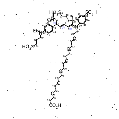 C=C/C=C(/C=C/C=C1/N(CCOCCOCCOCCOCCOCCOCCC(=O)O)c2ccc(S(=O)(=O)O)cc2C1(C)CCCS(=O)(=O)O)c1ccc(N(CC)CCCS(=O)(=O)O)cc1O